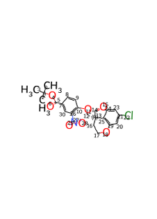 CC(C)(C)OC(=O)c1ccc(OC[C@@]2(C=O)CCOc3cc(Cl)ccc32)c([N+](=O)[O-])c1